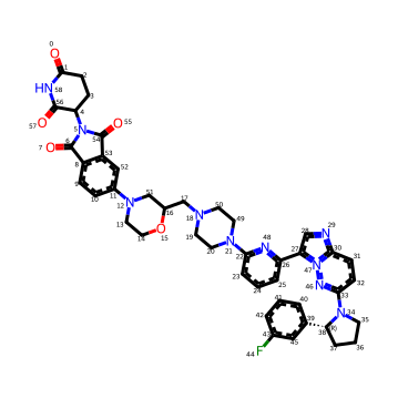 O=C1CCC(N2C(=O)c3ccc(N4CCOC(CN5CCN(c6cccc(-c7cnc8ccc(N9CCC[C@@H]9c9cccc(F)c9)nn78)n6)CC5)C4)cc3C2=O)C(=O)N1